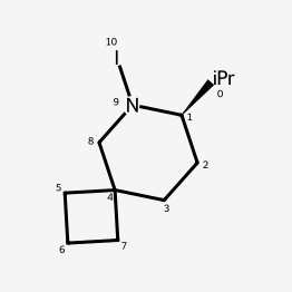 CC(C)[C@H]1CCC2(CCC2)CN1I